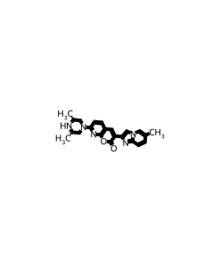 Cc1ccc2nc(-c3cc4ccc(N5C[C@@H](C)N[C@@H](C)C5)nc4oc3=O)cn2c1